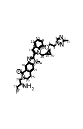 Cc1ncn(CCOc2cccc3cc(-c4nc5cc6c(cc5n4C)CCN(C[C@H](N)CF)C6=O)n(CC4CC4)c23)n1